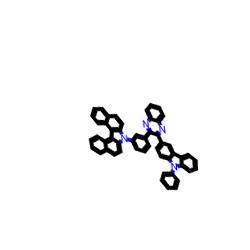 c1ccc(-n2c3ccccc3c3cc(-c4nc5ccccc5nc4-c4cccc(-n5c6ccc7ccccc7c6c6c7ccccc7ccc65)c4)ccc32)cc1